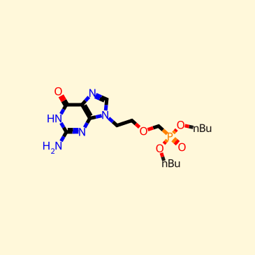 CCCCOP(=O)(COCCn1cnc2c(=O)[nH]c(N)nc21)OCCCC